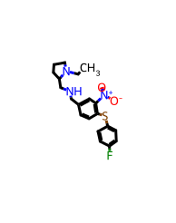 CCN1CCCC1CNCc1ccc(Sc2ccc(F)cc2)c([N+](=O)[O-])c1